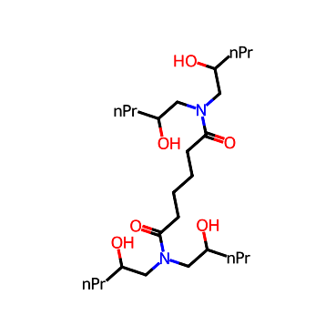 CCCC(O)CN(CC(O)CCC)C(=O)CCCCC(=O)N(CC(O)CCC)CC(O)CCC